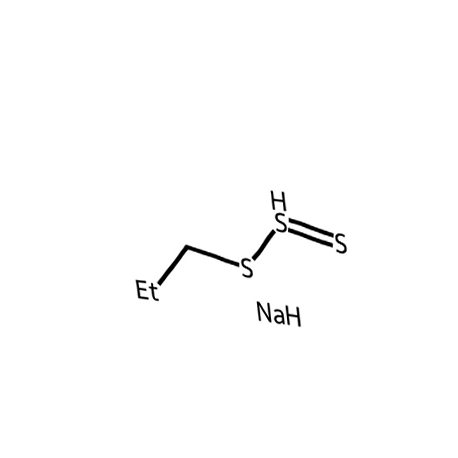 CCCS[SH]=S.[NaH]